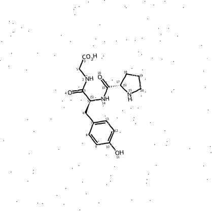 O=C(O)CNC(=O)[C@H](Cc1ccc(O)cc1)NC(=O)[C@@H]1CCCN1